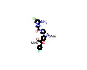 CNC(=O)c1c(-c2ccc(F)cc2)oc2cc(N(C)SC)c([C@H]3CCCN(C(=O)c4cn5cc(Cl)cc(N)c5n4)C3)cc12